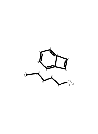 C1=Cc2ccccc21.CCCCCCl